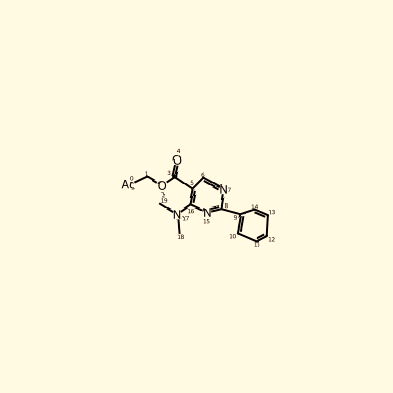 CC(=O)COC(=O)c1cnc(-c2ccccc2)nc1N(C)C